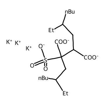 CCCCC(CC)CC(C(=O)[O-])C(CC(CC)CCCC)(C(=O)[O-])S(=O)(=O)[O-].[K+].[K+].[K+]